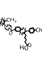 Cc1ccc(-c2nc3ccc(C(=O)N4CCN(c5nonc5C)CC4)cc3nc2CCCCC(=O)O)cc1